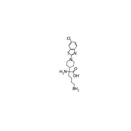 BCCCCC(N)(C(=O)O)C1CCN(c2nc3ccc(Cl)cc3s2)CC1